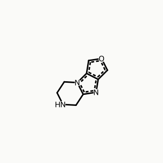 c1occ2c1nc1n2CCNC1